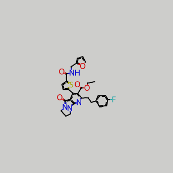 CCOC(=O)c1c(CCc2ccc(F)cc2)nc2c(c1-c1ccc(C(=O)NCc3ccco3)s1)c(=O)n1n2CCC1